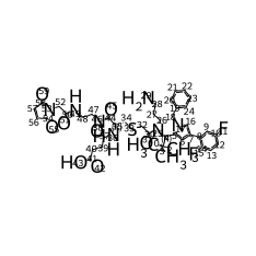 CC(C)(C)[C@H](c1cc(-c2cc(F)ccc2F)cn1Cc1ccccc1)N(CCCN)C(=O)CSC[C@H](NC(=O)CCC(=O)O)C(=O)NCCNC(=O)CN1C(=O)C=CC1=O